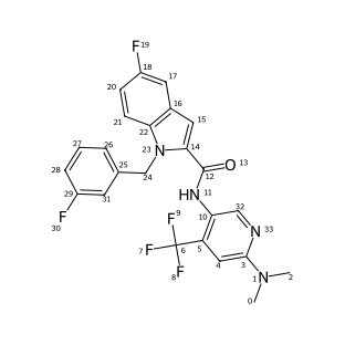 CN(C)c1cc(C(F)(F)F)c(NC(=O)c2cc3cc(F)ccc3n2Cc2cccc(F)c2)cn1